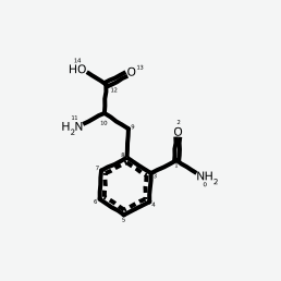 NC(=O)c1ccccc1CC(N)C(=O)O